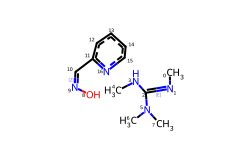 C/N=C(\NC)N(C)C.O/N=C\c1ccccn1